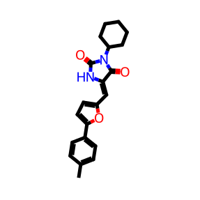 Cc1ccc(-c2ccc(/C=C3\NC(=O)N(C4CCCCC4)C3=O)o2)cc1